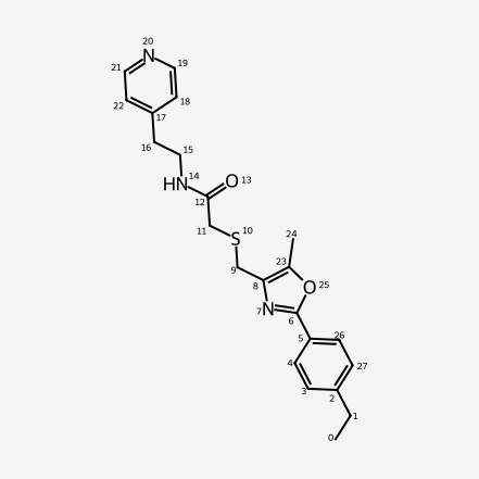 CCc1ccc(-c2nc(CSCC(=O)NCCc3ccncc3)c(C)o2)cc1